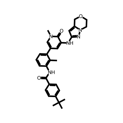 Cc1c(NC(=O)c2ccc(C(C)(C)C)cc2)cccc1-c1cc(Nc2cc3n(n2)CCOC3)c(=O)n(C)c1